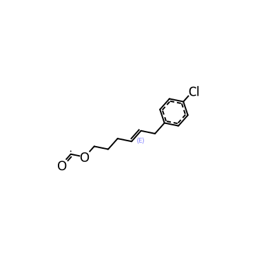 O=[C]OCCC/C=C/Cc1ccc(Cl)cc1